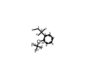 CCC(C)(C)c1ccccc1OC(F)(F)F